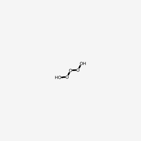 OOOOO